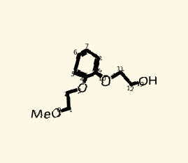 COCCOc1ccccc1OCCO